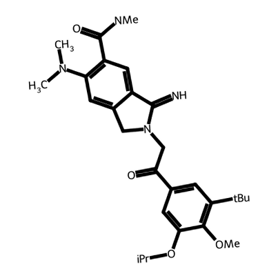 CNC(=O)c1cc2c(cc1N(C)C)CN(CC(=O)c1cc(OC(C)C)c(OC)c(C(C)(C)C)c1)C2=N